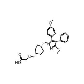 COc1ccc(-c2c(-c3ccccc3)c(SC)nn2C[C@H]2CC[C@@H](COCC(=O)O)CC2)cc1